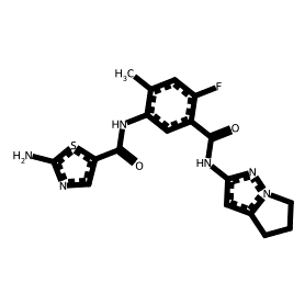 Cc1cc(F)c(C(=O)Nc2cc3n(n2)CCC3)cc1NC(=O)c1cnc(N)s1